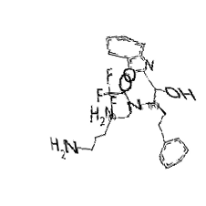 NCCC[C@@H](N)CN(C(=O)C(F)(F)F)[C@H](CCc1ccccc1)C(O)c1nc2ccccc2o1